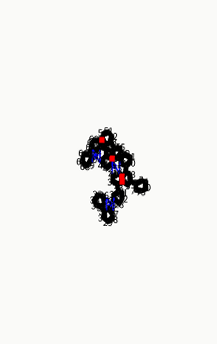 c1ccc(-c2cccc(-c3ccccc3N(c3ccc(-c4cccc(-n5c6ccccc6c6ccccc65)c4)cc3)c3ccc4c(c3)C3(c5ccccc5-c5ccccc53)c3cccc5c6ccccc6n-4c35)c2)cc1